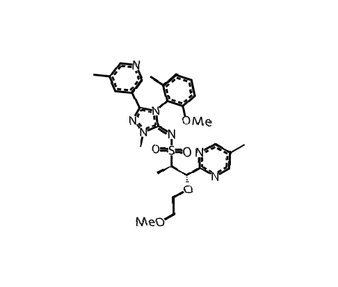 COCCO[C@@H](c1ncc(C)cn1)[C@@H](C)S(=O)(=O)/N=c1\n(C)nc(-c2cncc(C)c2)n1-c1c(C)cccc1OC